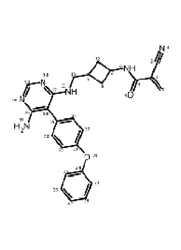 C=C(C#N)C(=O)NC1CC(CNc2ncnc(N)c2-c2ccc(Oc3ccccc3)cc2)C1